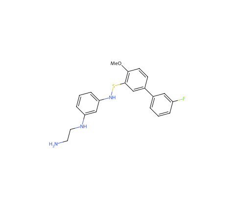 COc1ccc(-c2cccc(F)c2)cc1SNc1cccc(NCCN)c1